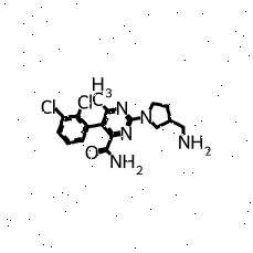 Cc1nc(N2CCC(CN)C2)nc(C(N)=O)c1-c1cccc(Cl)c1Cl